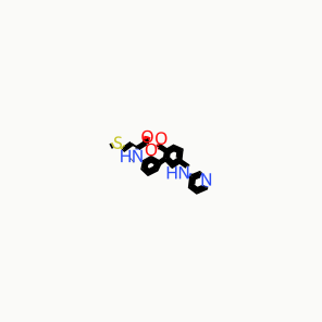 CN[C@@H](CCSC)C(=O)OC(=O)c1ccc(CNc2cccnc2)cc1-c1ccccc1